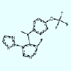 CC(c1ccc(OC(F)(F)F)cc1)c1c(F)cncc1-n1nccn1